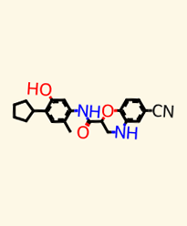 Cc1cc(C2CCCC2)c(O)cc1NC(=O)C1CNc2cc(C#N)ccc2O1